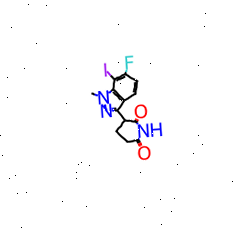 Cn1nc(C2CCC(=O)NC2=O)c2ccc(F)c(I)c21